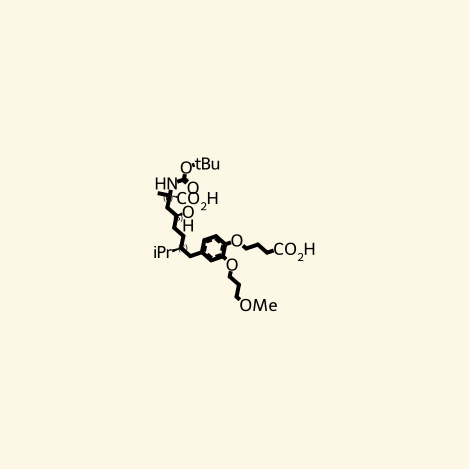 COCCCOc1cc(C[C@H](CC[C@H](O)C[C@@](C)(NC(=O)OC(C)(C)C)C(=O)O)C(C)C)ccc1OCCCC(=O)O